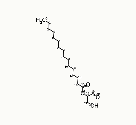 CCCCCCCCCCCCCCCC(=O)OC(C=O)CO